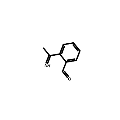 CC(=N)c1ccccc1C=O